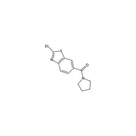 CCc1nc2ccc(C(=O)N3CCCC3)cc2s1